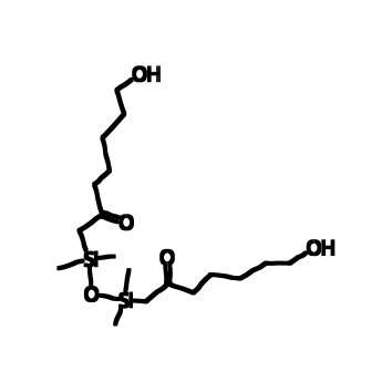 C[Si](C)(CC(=O)CCCCCO)O[Si](C)(C)CC(=O)CCCCCO